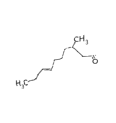 CC/C=C/CCCC(C)C[C]=O